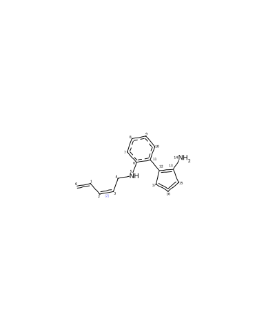 C=C/C=C\CNc1ccccc1C1=C(N)C=C=C1